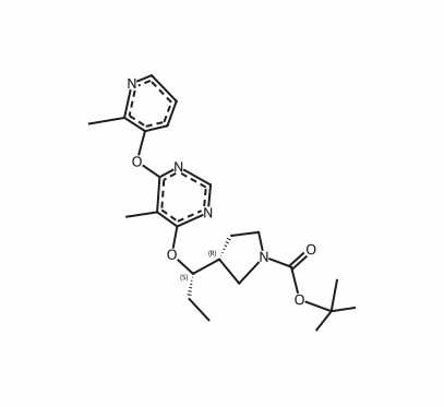 CC[C@H](Oc1ncnc(Oc2cccnc2C)c1C)[C@@H]1CCN(C(=O)OC(C)(C)C)C1